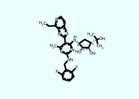 CCc1nccc2sc(-c3c(C)nc(NCc4c(F)cccc4F)nc3N[C@@H]3C[C@H](C(C)(C)O)[C@@H](O)[C@H]3O)nc12